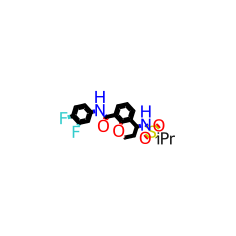 CC(C)S(=O)(=O)NC1CCOc2c(C(=O)Nc3ccc(F)c(F)c3)cccc21